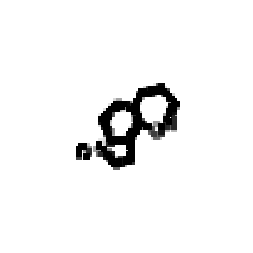 [O-][s+]1ccc2c3c(ccc21)C=CC=NO3